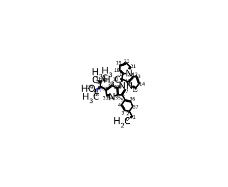 C=CC1C=CC(c2cn(C(C)(c3ccccn3)c3ccccn3)c3cc(/C(=C(\C)O)C(C)C)cnc23)=CC1